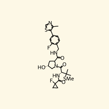 CSC(C)(C)[C@H](NC(=O)C1(F)CC1)C(=O)N1C[C@H](O)CC1C(=O)NCc1ccc(-c2scnc2C)cc1F